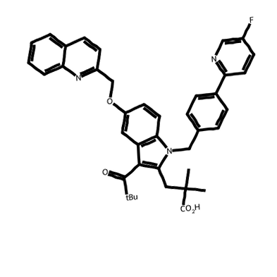 CC(C)(C)C(=O)c1c(CC(C)(C)C(=O)O)n(Cc2ccc(-c3ccc(F)cn3)cc2)c2ccc(OCc3ccc4ccccc4n3)cc12